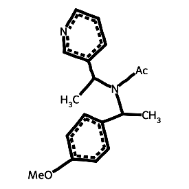 COc1ccc(C(C)N(C(C)=O)C(C)c2cccnc2)cc1